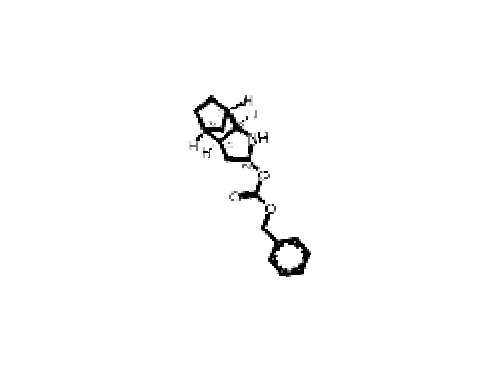 O=C(OCc1ccccc1)O[C@H]1C[C@H]2[C@@H]3CC[C@@H](C3)[C@H]2N1